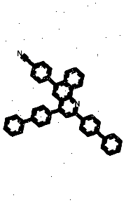 N#Cc1ccc(-c2cc3c(-c4ccc(-c5ccccc5)cc4)cc(-c4ccc(-c5ccccc5)cc4)nc3c3ccccc23)cc1